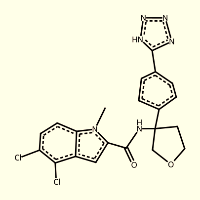 Cn1c(C(=O)NC2(c3ccc(-c4nnn[nH]4)cc3)CCOC2)cc2c(Cl)c(Cl)ccc21